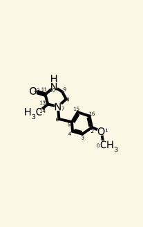 COc1ccc(CN2CCNC(=O)C2C)cc1